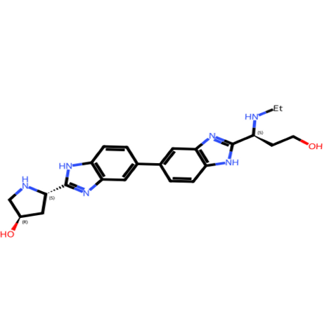 CCN[C@@H](CCO)c1nc2cc(-c3ccc4[nH]c([C@@H]5C[C@@H](O)CN5)nc4c3)ccc2[nH]1